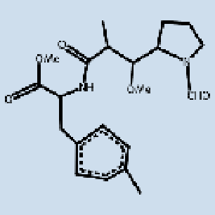 COC(=O)C(Cc1ccc(C)cc1)NC(=O)C(C)C(OC)C1CCCN1C=O